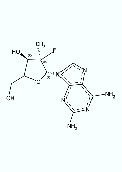 C[C@@]1(F)[C@H](O)C(CO)O[C@H]1n1cnc2c(N)nc(N)nc21